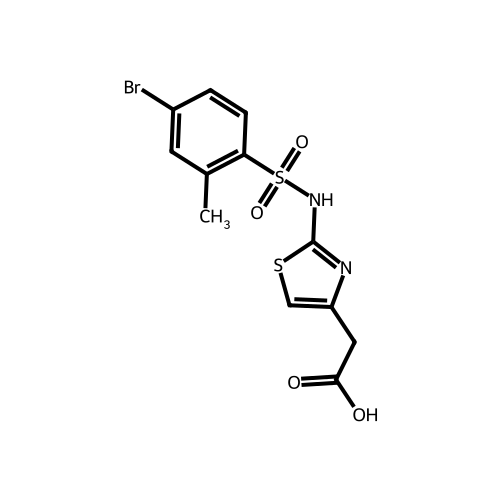 Cc1cc(Br)ccc1S(=O)(=O)Nc1nc(CC(=O)O)cs1